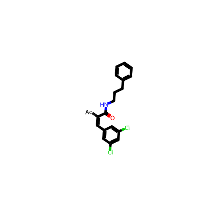 CC(=O)C(=Cc1cc(Cl)cc(Cl)c1)C(=O)NCCCc1ccccc1